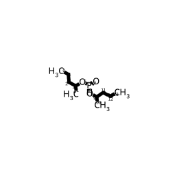 CCCC(C)O[PH](=O)OC(C)CCC